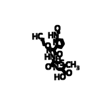 C#CCON=C(C(=O)NC1C(=O)N2C=C(C(=O)O)C(C)S[C@H]12)c1cccc(NC=O)n1